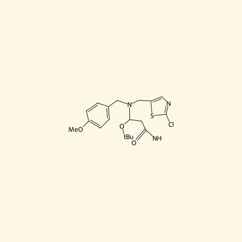 COc1ccc(CN(Cc2cnc(Cl)s2)C(CC([NH])=O)OC(C)(C)C)cc1